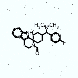 CN(C)C(c1ccc(F)cc1)C1CCC2(CC1)c1[nH]c3ccccc3c1CCN2C=O